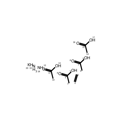 C=C.CC(=O)O.CC(=O)O.CC(=O)O.CC(=O)O.N.N.[KH]